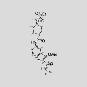 CCS(=O)(=O)N[C@H]1CC[C@H](C(=O)Nc2ccc3oc(C(=O)NC(C)C)c(OC)c3c2)CC1